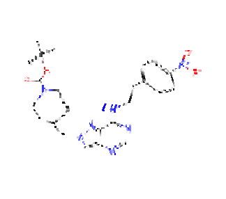 CC(C)(C)OC(=O)N1CCC(Cn2cc3ncnc(NCCc4ccc([N+](=O)[O-])cc4)c3n2)CC1